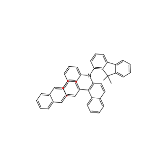 CC1(C)c2ccccc2-c2cccc(N(c3cccc(-c4ccc5ccccc5c4)c3)c3ccc4ccccc4c3-c3ccccc3)c21